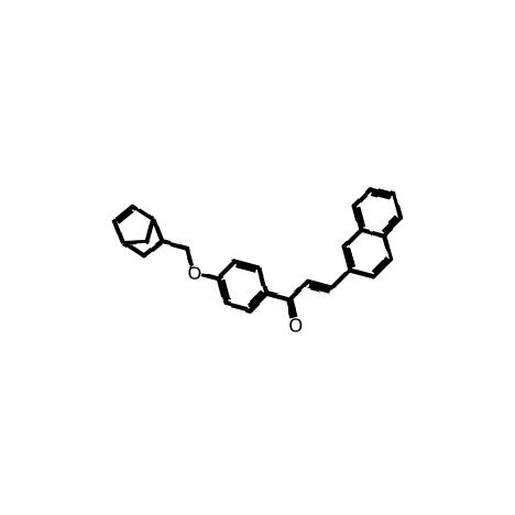 O=C(C=Cc1ccc2ccccc2c1)c1ccc(OCC2CC3C=CC2C3)cc1